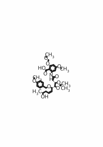 COCOc1cc(OC)cc(NC(=O)C[C@@H]2OC(C)(C)O[C@@H]2C(/C=C\C[C@@H](C)O)OCc2ccc(OC)cc2)c1C(=O)O